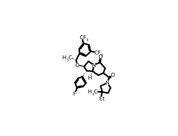 CCC1(C)CCN(C(=O)C2CC(=O)N3C[C@H](O[C@H](C)c4cc(C(F)(F)F)cc(C(F)(F)F)c4)[C@@H](c4ccc(F)cc4)[C@@H]3C2)C1